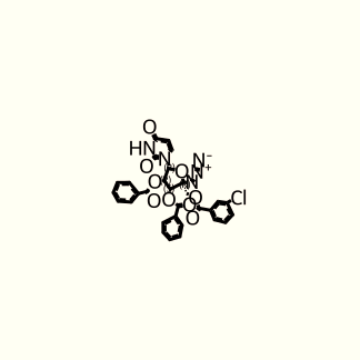 [N-]=[N+]=N[C@]1(COC(=O)c2cccc(Cl)c2)O[C@@H](n2ccc(=O)[nH]c2=O)[C@H](OC(=O)c2ccccc2)[C@@H]1OC(=O)c1ccccc1